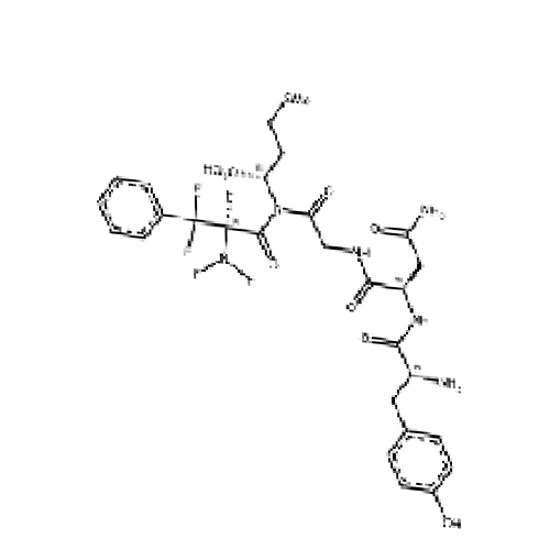 CSCC[C@@H](C(=O)O)N(C(=O)CNC(=O)[C@@H](CC(N)=O)NC(=O)[C@@H](N)Cc1ccc(O)cc1)C(=O)[C@@](F)(N(F)F)C(F)(F)c1ccccc1